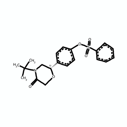 CC(C)(C)N1C[C@H](c2ccc(OS(=O)(=O)c3ccccc3)cc2)OCC1=O